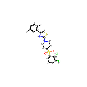 Cc1ccc(C)c(-c2csc(N3CCC(S(=O)(=O)c4cccc(Cl)c4Cl)CC3)n2)c1